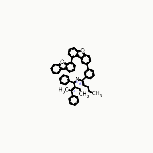 CCC/C=C(/N=C(\C(CC)=C(/C)c1ccccc1)c1ccccc1)c1cccc(-c2ccc3oc4cccc(-c5cccc6c5oc5ccccc56)c4c3c2)c1